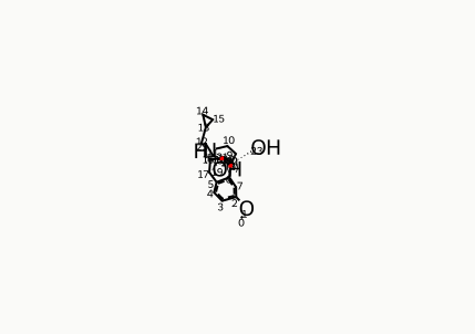 COc1ccc2c(c1)[C@]13CCN(CC4CC4)[C@H](C2)[C@]1(O)CC[C@H](O)C3